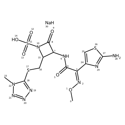 CO/N=C(\C(=O)NC1C(=O)N(S(=O)(=O)O)C1CSc1nnnn1C)c1csc(N)n1.[NaH]